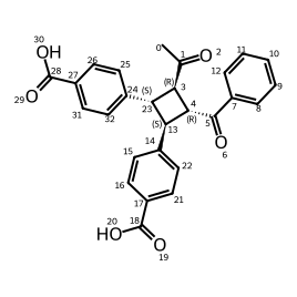 CC(=O)[C@H]1[C@H](C(=O)c2ccccc2)[C@@H](c2ccc(C(=O)O)cc2)[C@@H]1c1ccc(C(=O)O)cc1